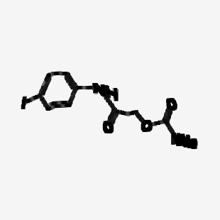 CNC(=O)OCC(=O)Nc1ccc(I)cc1